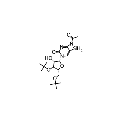 CC(=O)N1[SiH2]c2cn([C@@H]3O[C@H](COC(C)(C)C)[C@@H](OC(C)(C)C)[C@@H]3O)c(=O)nc21